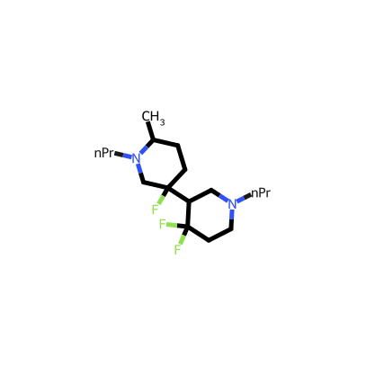 CCCN1CCC(F)(F)C(C2(F)CCC(C)N(CCC)C2)C1